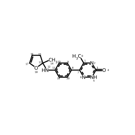 Cc1nc(=O)[nH]nc1-c1ccc(NC2(C)CC=CO2)cc1